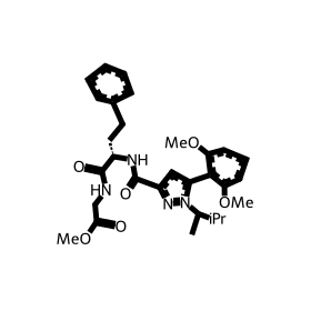 COC(=O)CNC(=O)[C@H](CCc1ccccc1)NC(=O)c1cc(-c2c(OC)cccc2OC)n(C(C)C(C)C)n1